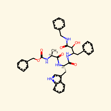 C[C@H](NC(=O)OCc1ccccc1)C(=O)N[C@@H](Cc1c[nH]c2ccccc12)C(=O)NC(Cc1ccccc1)C(O)C(=O)NCc1ccccc1